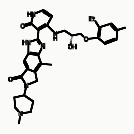 CCc1cc(C)ccc1OC[C@H](O)CNc1cc[nH]c(=O)c1-c1nc2c(C)c3c(cc2[nH]1)C(=O)N(C1CCN(C)CC1)C3